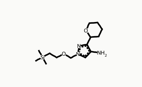 C[Si](C)(C)CCOCn1cc(N)c(C2CCCCO2)n1